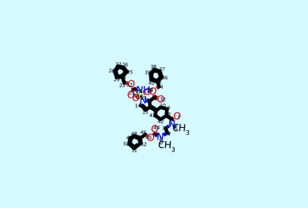 CN(CCN(C)C(=O)C1CCC(=C2C=CN(S(=O)(=O)NC(=O)OCc3ccccc3)C2C(=O)OCc2ccccc2)CC1)C(=O)OCc1ccccc1